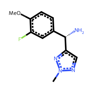 COc1ccc([C@H](N)c2cnn(C)n2)cc1F